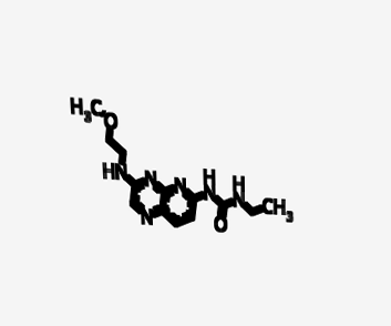 CCNC(=O)Nc1ccc2ncc(NCCOC)nc2n1